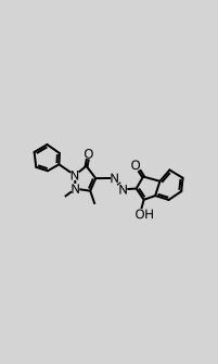 Cc1c(/N=N/C2=C(O)c3ccccc3C2=O)c(=O)n(-c2ccccc2)n1C